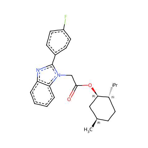 CC(C)[C@@H]1CC[C@@H](C)C[C@H]1OC(=O)Cn1c(-c2ccc(F)cc2)nc2ccccc21